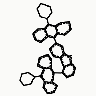 c1cc(-c2c3ccccc3c(C3CCCCC3)c3ccccc23)c2c(c1)sc1cc(-c3c4ccccc4c(C4CCCCC4)c4ccccc34)ccc12